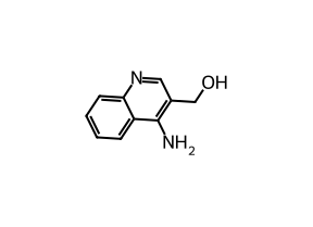 Nc1c(CO)cnc2ccccc12